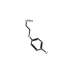 [Li][c]1ccc(OCCCCCCCC)cc1